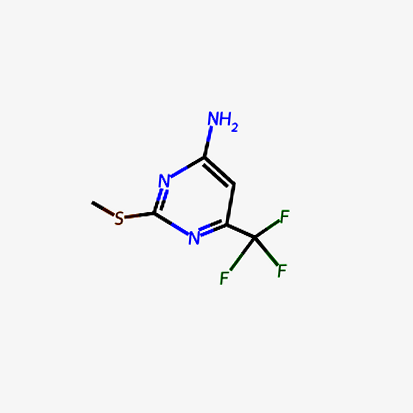 CSc1nc(N)cc(C(F)(F)F)n1